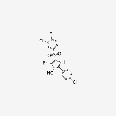 N#Cc1c(-c2ccc(Cl)cc2)[nH]c(S(=O)(=O)c2ccc(F)c(Cl)c2)c1Br